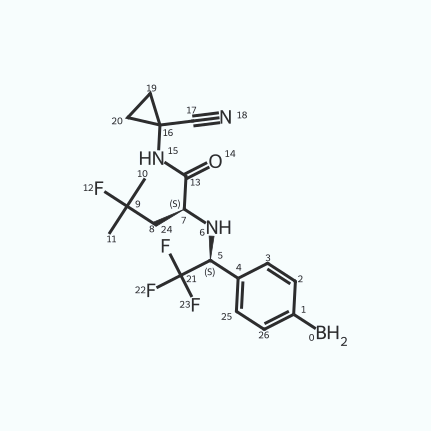 Bc1ccc([C@H](N[C@@H](CC(C)(C)F)C(=O)NC2(C#N)CC2)C(F)(F)F)cc1